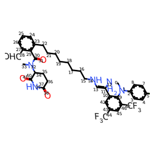 CN(c1ccc(F)cc1)c1c(/C(N)=C/NCCCCCCCCc2cccc(C=O)c2C(=O)N(C)C2CCC(=O)NC2=O)cc(C(F)(F)F)cc1C(F)(F)F